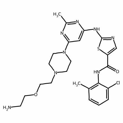 Cc1nc(Nc2ncc(C(=O)Nc3c(C)cccc3Cl)s2)cc(N2CCN(CCOCCN)CC2)n1